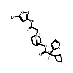 CCc1cc(NC(=O)C[N+]23CCC(CC2)C(OC(=O)[C@@](O)(c2cccs2)C2CCC2)C3)no1